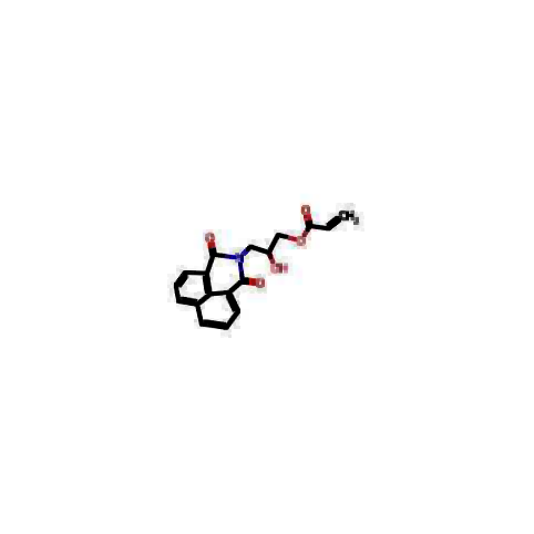 C=CC(=O)OCC(O)CN1C(=O)c2cccc3cccc(c23)C1=O